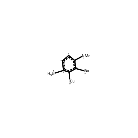 CCC(C)c1c([SiH3])ccc(NC)c1C(C)CC